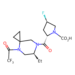 CC[C@H]1CN(C(=O)C(F)(F)F)C2(CC2)CN1C(=O)[C@@H]1C[C@@H](F)CN1C(=O)O